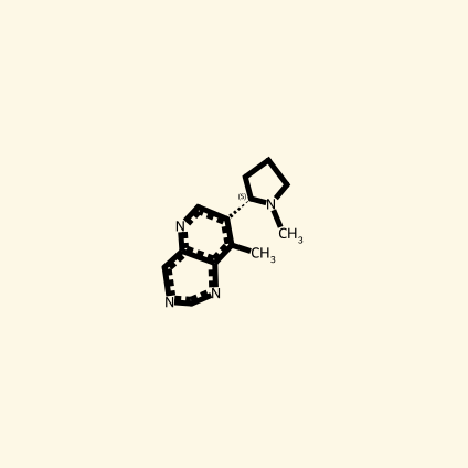 Cc1c([C@@H]2CCCN2C)cnc2cncnc12